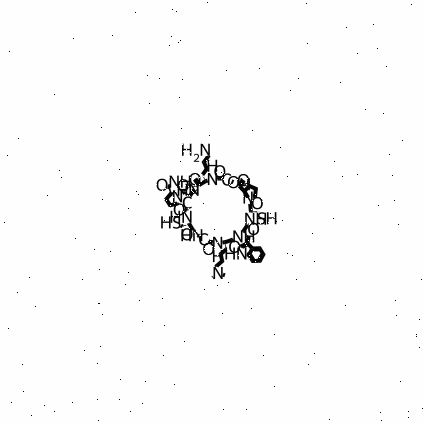 CN(C)CCCC[C@@H]1NC(=O)CNC(=O)[C@H](CS)NC(=O)C[C@@H](C(=O)N2CCC[C@H]2C(N)=O)NC(=O)[C@H](CCCCN)NC(=O)COC(=O)[C@@H]2CCCN2C(=O)[C@H](CS)NC(=O)[C@H](Cc2c[nH]c3ccccc23)NC1=O